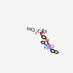 CCOC(Cc1ccc(OCCN(CC2CCCC2)C(=O)Nc2ccc3c(c2)CCC3)cc1)C(=O)O